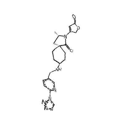 C[C@H]1C[C@]2(CC[C@H](NCc3ccc(-n4cnnn4)nc3)CC2)C(=O)N1C1=CC(=O)OC1